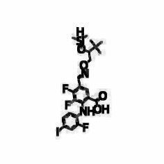 C[SiH](C)OC(CON=Cc1cc(C(=O)O)c(Nc2ccc(I)cc2F)c(F)c1F)C(C)(C)C